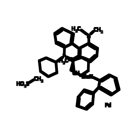 CN(C)c1cccc(N(C)C)c1-c1ccccc1P(C1CCCCC1)C1CCCCC1.CNc1ccccc1-c1ccccc1.CS(=O)(=O)O.[Pd]